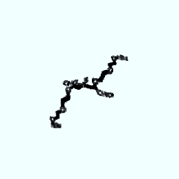 CCCCOCCOCCOC(C=O)[CH2][Sn](=[S])[CH2]C(C=O)OCCOCCOCCCC